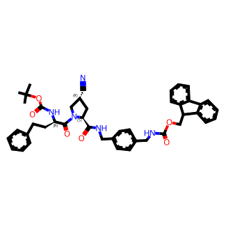 CC(C)(C)OC(=O)N[C@H](CCc1ccccc1)C(=O)N1C[C@H](C#N)C[C@H]1C(=O)NCc1ccc(CNC(=O)OCC2c3ccccc3-c3ccccc32)cc1